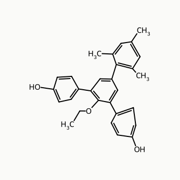 CCOc1c(-c2ccc(O)cc2)cc(-c2c(C)cc(C)cc2C)cc1-c1ccc(O)cc1